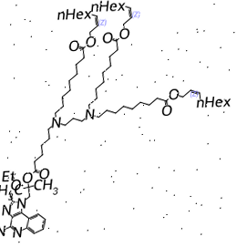 CCCCCC/C=C\COC(=O)CCCCCCCCN(CCCCCCCCC(=O)OC/C=C\CCCCCC)CCCN(CCCCCCCCC(=O)OC/C=C\CCCCCC)CCCCCC(=O)OC(C)(C)Cn1c(COCC)nc2c(N)nc3ccccc3c21